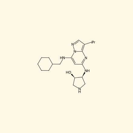 CC(C)c1cnn2c(NCC3CCCCC3)cc(N[C@H]3CNC[C@H]3O)nc12